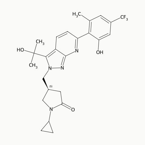 Cc1cc(C(F)(F)F)cc(O)c1-c1ccc2c(C(C)(C)O)n(C[C@H]3CC(=O)N(C4CC4)C3)nc2n1